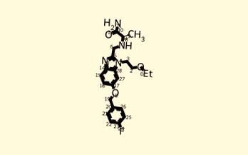 CCOCCn1c(CN[C@@H](C)C(N)=O)nc2ccc(OCc3ccc(F)cc3)cc21